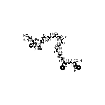 CC[C@H](C)[C@H](NC(=O)[C@@H]1CCCN1C(=O)[C@@H](NC(=O)[C@@H](N)CO)C(C)C)C(=O)NCC(=O)N[C@@H](C)C(=O)NCC(=O)NCC(=O)N[C@@H](CO)C(=O)N[C@@H](CC(C)C)C(=O)NCC(=O)N[C@@H](CC(C)C)C(=O)NCC(=O)NCC(=O)N[C@@H](Cc1ccccc1)C(=O)NCC(=O)N[C@@H](Cc1c[nH]c2ccccc12)C(=O)O